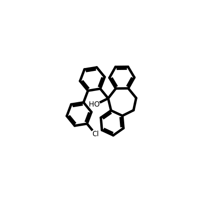 OC1(c2ccccc2-c2cccc(Cl)c2)c2ccccc2CCc2ccccc21